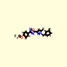 Cc1cccc(Cn2nc(-c3nc(-c4ccc(OC(F)(F)F)cc4)no3)cc2C)c1